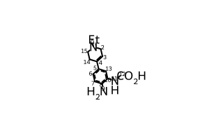 CCN1CC=C(c2ccc(N)c(NC(=O)O)c2)CC1